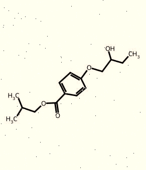 CCC(O)COc1ccc(C(=O)OCC(C)C)cc1